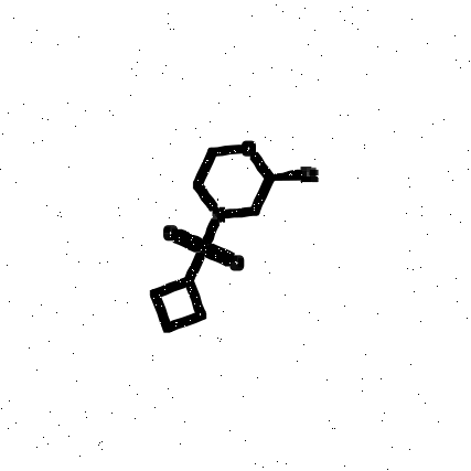 CC[C@H]1CN(S(=O)(=O)C2CCC2)CCO1